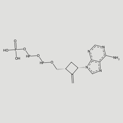 C=C1[C@H](COPOPOP(=O)(O)O)C[C@@H]1n1cnc2c(N)ncnc21